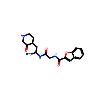 O=CC(CC1CCNCC1=O)NC(=O)CNC(=O)c1cc2ccccc2o1